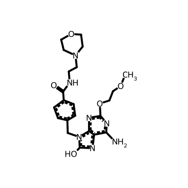 COCCOc1nc(N)c2nc(O)n(Cc3ccc(C(=O)NCCN4CCOCC4)cc3)c2n1